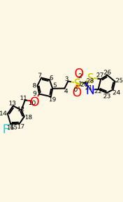 O=S(=O)(CCc1cccc(OCc2ccc(F)cc2)c1)c1nc2ccccc2s1